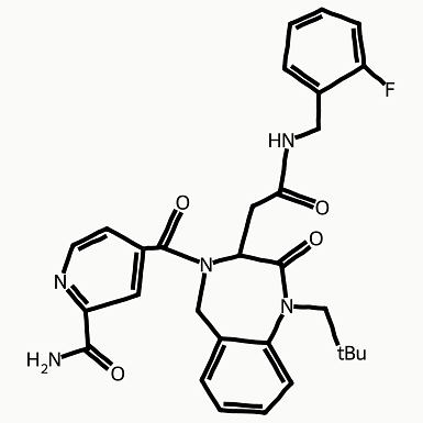 CC(C)(C)CN1C(=O)C(CC(=O)NCc2ccccc2F)N(C(=O)c2ccnc(C(N)=O)c2)Cc2ccccc21